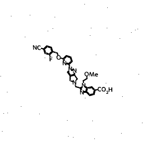 COCCn1c(CN2Cc3cn(-c4cccc(OCc5ccc(C#N)cc5F)n4)nc3C2)nc2ccc(C(=O)O)cc21